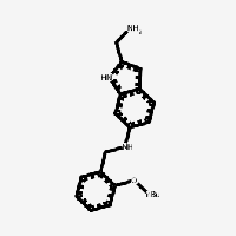 CCCCOc1ccccc1CNc1ccc2cc(CN)[nH]c2c1